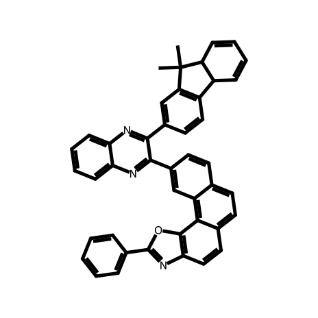 CC1(C)c2cc(-c3nc4ccccc4nc3-c3ccc4ccc5ccc6nc(-c7ccccc7)oc6c5c4c3)ccc2C2C=CC=CC21